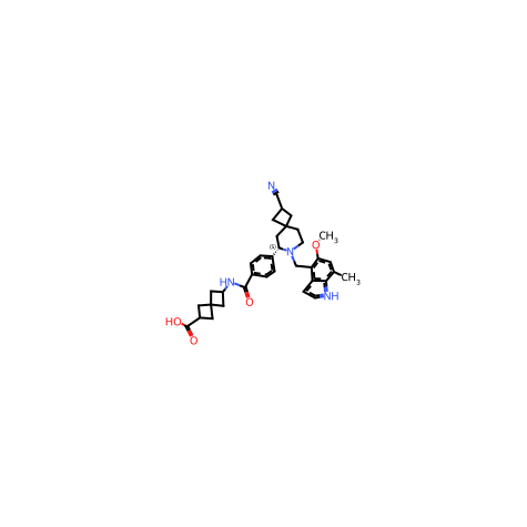 COc1cc(C)c2[nH]ccc2c1CN1CCC2(CC(C#N)C2)C[C@H]1c1ccc(C(=O)NC2CC3(C2)CC(C(=O)O)C3)cc1